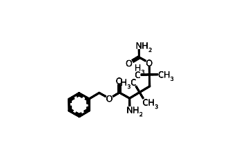 CC(C)(CC(C)(C)C(N)C(=O)OCc1ccccc1)OC(N)=O